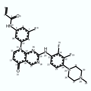 C=CC(=O)Nc1cc(F)cc(-n2ccc(=O)c3cnc(Nc4ccc(N5CCN(C)CC5)c(F)c4F)nc32)c1